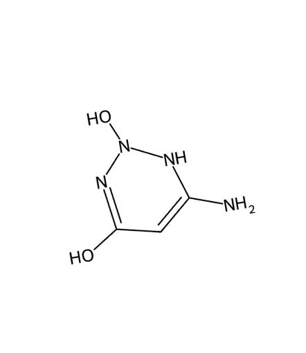 NC1=CC(O)=NN(O)N1